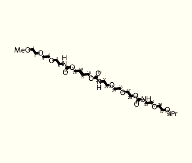 COCCOCCOCCNC(=O)OC/C=C/COC(=O)NCCOCCOCCOC(=O)NCCOCCOC(C)C